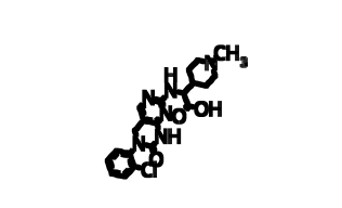 CN1CCC(C(Nc2ncc3c(n2)NC(=O)N(c2ccccc2Cl)C3)C(=O)O)CC1